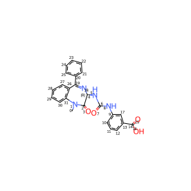 CN1C(=O)[C@H](NC(=O)Nc2cccc(C(=O)O)c2)N=C(c2ccccc2)c2ccccc21